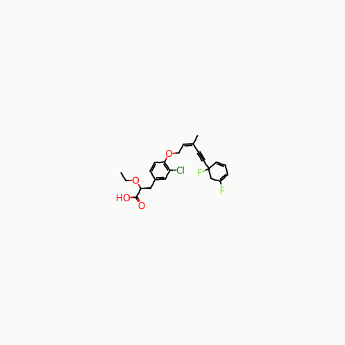 CCO[C@@H](Cc1ccc(OC/C=C(/C)C#CC2(F)C=CC=C(F)C2)c(Cl)c1)C(=O)O